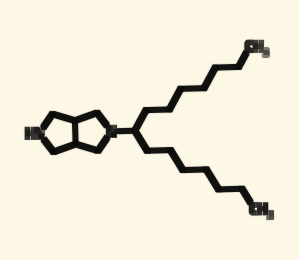 CCCCCCCC(CCCCCCC)N1CC2CNCC2C1